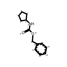 O=C(NC1CCCC1)OCc1ccccc1